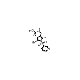 Cc1c(CN(C)C(=O)O)cc(Br)n1S(=O)(=O)c1cccnc1